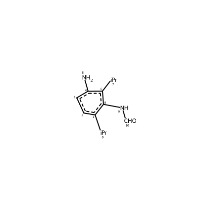 CC(C)c1ccc(N)c(C(C)C)c1NC=O